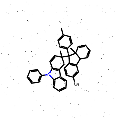 Cc1ccc(C2(C3(C)C=Cc4c(c5ccccc5n4-c4ccccc4)C3)c3ccc(C#N)cc3C3C=CC=CC32C)cc1